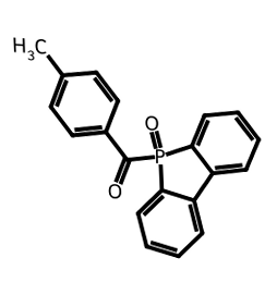 Cc1ccc(C(=O)P2(=O)c3ccccc3-c3ccccc32)cc1